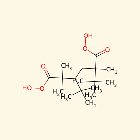 CC(C)(C)C(CC(C)(C(=O)OO)C(C)(C)C)C(C)(C)C(=O)OO